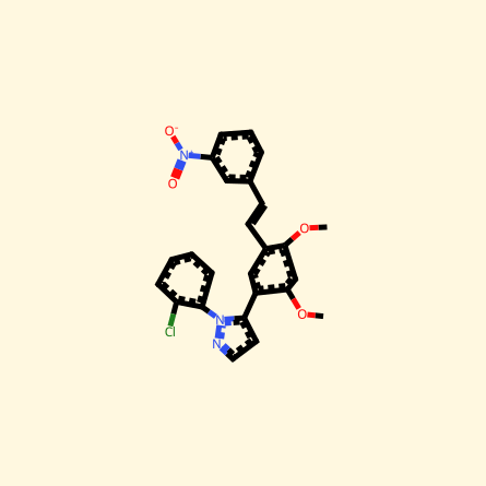 COc1cc(OC)c(-c2ccnn2-c2ccccc2Cl)cc1/C=C/c1cccc([N+](=O)[O-])c1